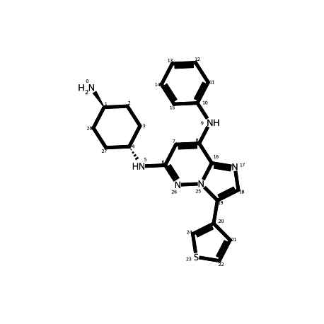 N[C@H]1CC[C@H](Nc2cc(Nc3ccccc3)c3ncc(-c4ccsc4)n3n2)CC1